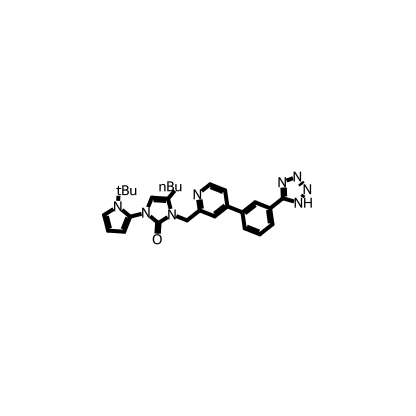 CCCCc1cn(-c2cccn2C(C)(C)C)c(=O)n1Cc1cc(-c2cccc(-c3nnn[nH]3)c2)ccn1